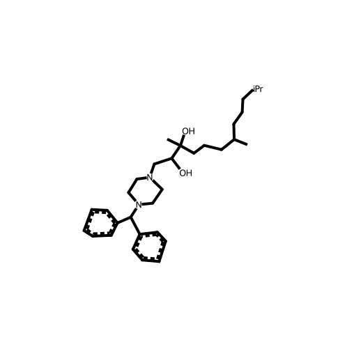 CC(C)CCCC(C)CCCC(C)(O)C(O)CN1CCN(C(c2ccccc2)c2ccccc2)CC1